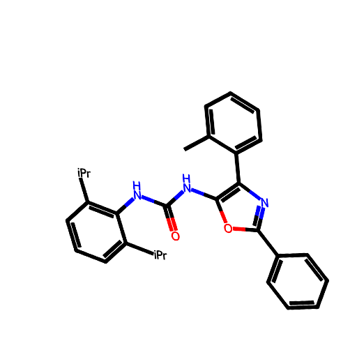 Cc1ccccc1-c1nc(-c2ccccc2)oc1NC(=O)Nc1c(C(C)C)cccc1C(C)C